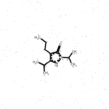 CCCc1c(C(C)C)[nH]n(C(C)C)c1=O